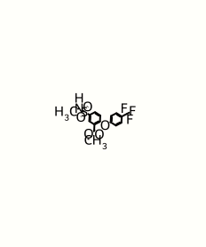 CNS(=O)(=O)c1ccc(Oc2ccc(C(F)(F)F)cc2)c(C(=O)OC)c1